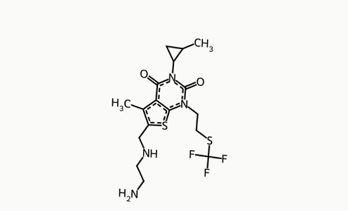 Cc1c(CNCCN)sc2c1c(=O)n(C1CC1C)c(=O)n2CCSC(F)(F)F